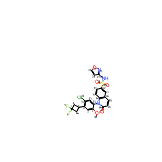 COc1cc(C2CC(F)(F)C2)c(Cl)cc1-n1c(=O)ccc2cc(S(=O)(=O)Nc3ccon3)ccc21